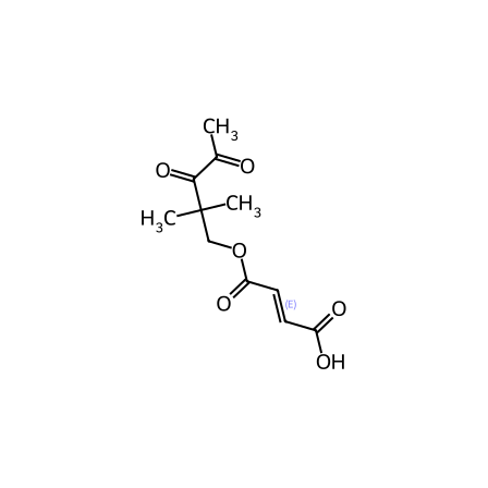 CC(=O)C(=O)C(C)(C)COC(=O)/C=C/C(=O)O